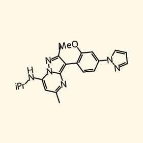 COc1cc(-n2cccn2)ccc1-c1c(C)nn2c(NC(C)C)cc(C)nc12